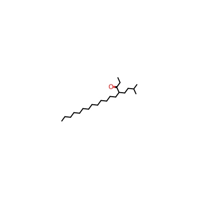 CCCCCCCCCCCCCC(CCC(C)C)C(=O)CC